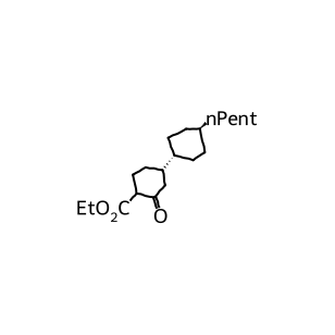 CCCCC[C@H]1CC[C@H](C2CCC(C(=O)OCC)C(=O)C2)CC1